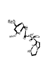 COc1cc(OC)nc(NC(=O)NS(=O)(=O)c2ccn3c2SNCC3)n1